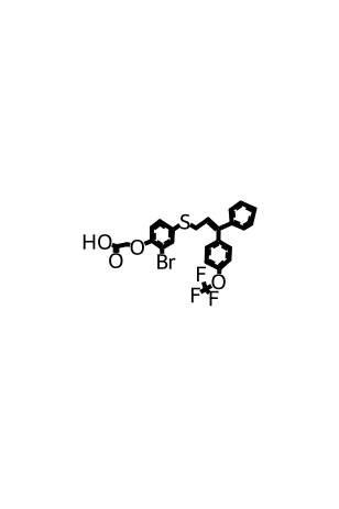 O=C(O)COc1ccc(SCC=C(c2ccccc2)c2ccc(OC(F)(F)F)cc2)cc1Br